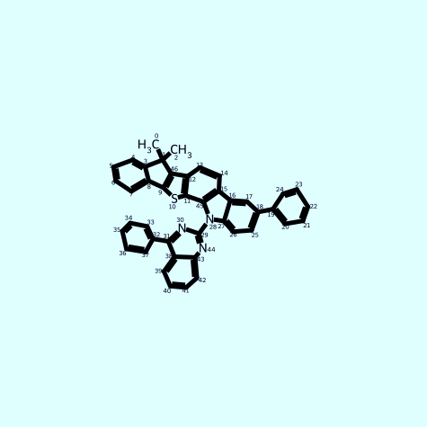 CC1(C)c2ccccc2-c2sc3c(ccc4c5cc(-c6ccccc6)ccc5n(-c5nc(-c6ccccc6)c6ccccc6n5)c43)c21